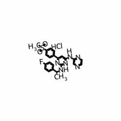 C[C@H](Nc1nc(Nc2cnccn2)cc(-c2ccc(S(C)(=O)=O)cc2)n1)c1ccc(F)cc1.Cl